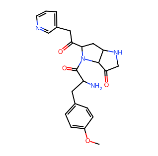 COc1ccc(CC(N)C(=O)N2C(C(=O)Cc3cccnc3)CC3NCC(=O)C32)cc1